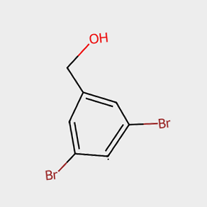 OCc1cc(Br)[c]c(Br)c1